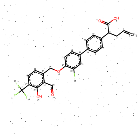 C=CCC(C(=O)O)c1ccc(-c2ccc(OCc3ccc(C(F)(F)F)c(O)c3C=O)c(F)c2)cc1